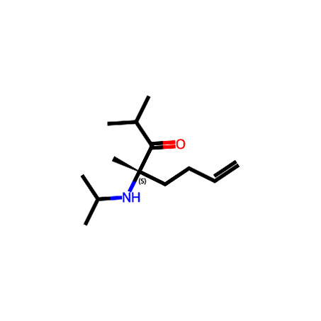 C=CCC[C@](C)(NC(C)C)C(=O)C(C)C